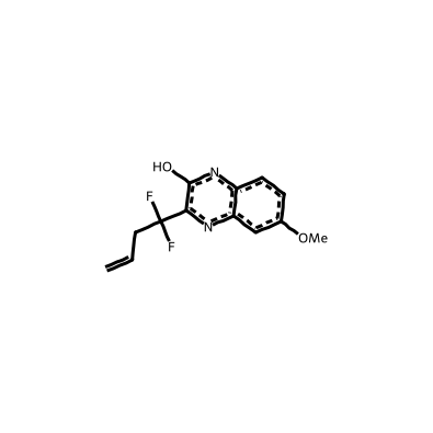 C=CCC(F)(F)c1nc2cc(OC)ccc2nc1O